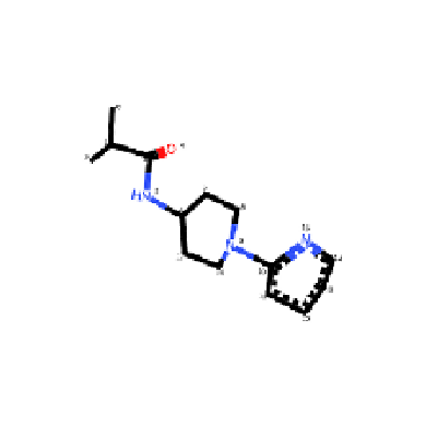 CC(C)C(=O)NC1CCN(c2ccccn2)CC1